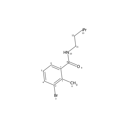 Cc1c(Br)cccc1C(=O)NCCC(C)C